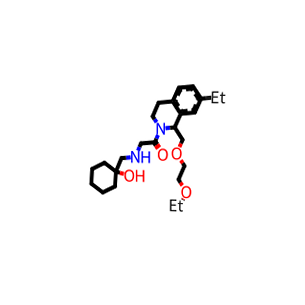 CCOCCOCC1c2cc(CC)ccc2CCN1C(=O)CNCC1(O)CCCCC1